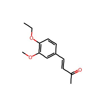 CCOc1ccc(/C=C/C(C)=O)cc1OC